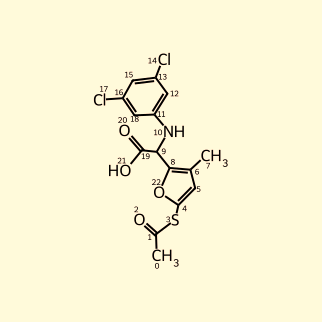 CC(=O)Sc1cc(C)c(C(Nc2cc(Cl)cc(Cl)c2)C(=O)O)o1